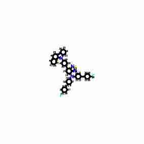 Fc1ccc(-c2ccc(N(c3ccc(-c4ccc(F)cc4)cc3)c3ccc(-c4ccc(-n5c6ccccc6c6ccc7ccccc7c65)cc4)c4nsnc34)cc2)cc1